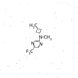 CN(c1cnc(C(F)(F)F)cn1)[C@H]1C[C@H](C)C1